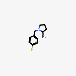 CCC1CCCN1Cc1ccc(F)cc1